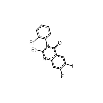 CCc1ccccc1-n1c(CC)nc2cc(F)c(I)cc2c1=O